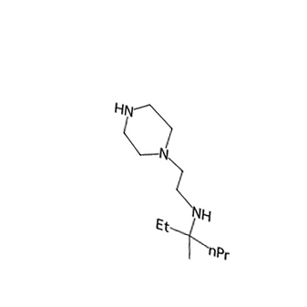 CCCC(C)(CC)NCCN1CCNCC1